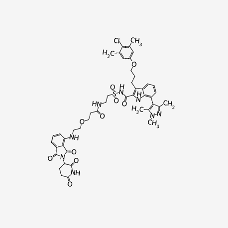 Cc1cc(OCCCc2c(C(=O)NS(=O)(=O)CCNC(=O)CCOCCNc3cccc4c3C(=O)N(C3CCC(=O)NC3=O)C4=O)[nH]c3c(-c4c(C)nn(C)c4C)cccc23)cc(C)c1Cl